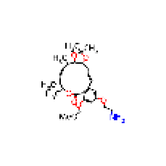 COCOc1cc(OCCN)cc2c1C(=O)O[C@@H](C)[C@H](C)/C=C\C(C)C1OC(C)(C)OC1C/C=C/2